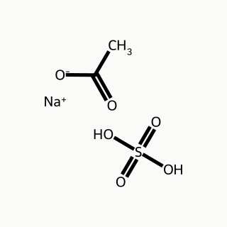 CC(=O)[O-].O=S(=O)(O)O.[Na+]